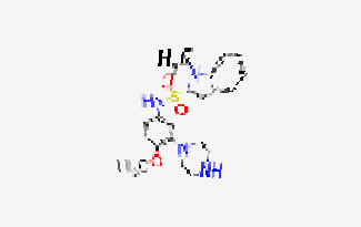 COc1ccc(NS(=O)(=O)c2cc3ccccc3n2C)cc1N1CCNCC1